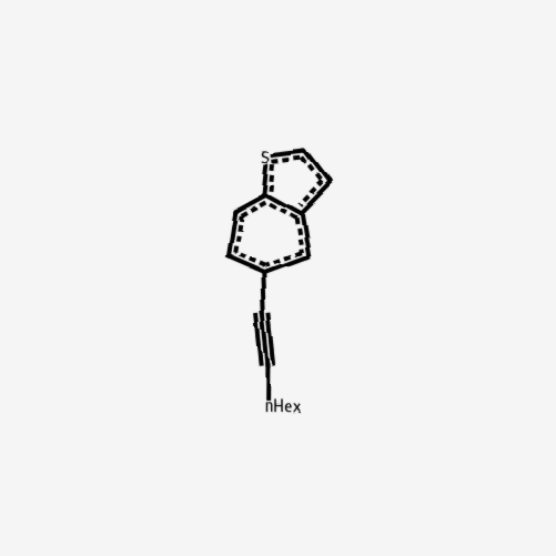 CCCCCCC#Cc1ccc2sccc2c1